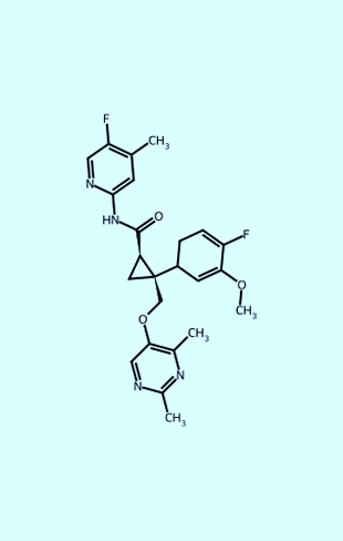 COC1=CC([C@]2(COc3cnc(C)nc3C)C[C@H]2C(=O)Nc2cc(C)c(F)cn2)CC=C1F